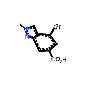 CC(C)c1cc(C(=O)O)cc2nn(C)cc12